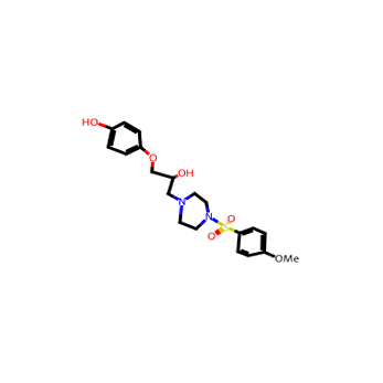 COc1ccc(S(=O)(=O)N2CCN(CC(O)COc3ccc(O)cc3)CC2)cc1